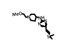 COCCN1CCC(Nc2ncc(C#C[Si](C)(C)C)cn2)CC1